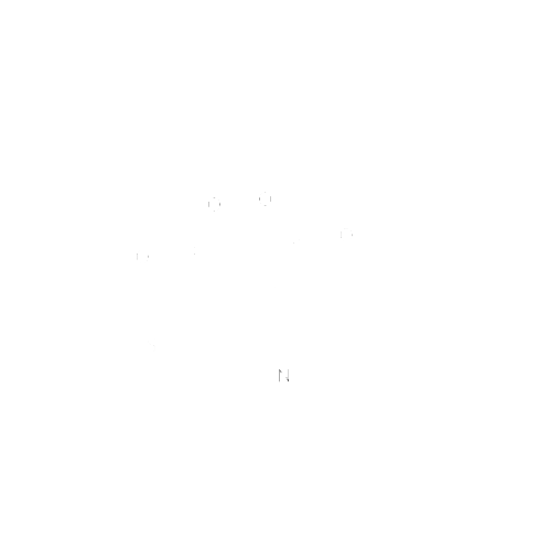 CCOC(=O)C1=C(C(=O)OCC)C2SC=CCC2N=C1